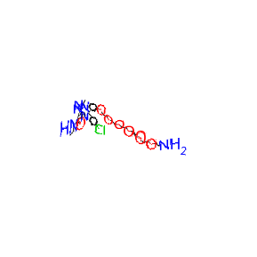 CCNC(=O)C[C@@H]1N=C(c2ccc(Cl)cc2)c2cc(OCCOCCOCCOCCOCCOCCN)ccc2-n2c(C)nnc21